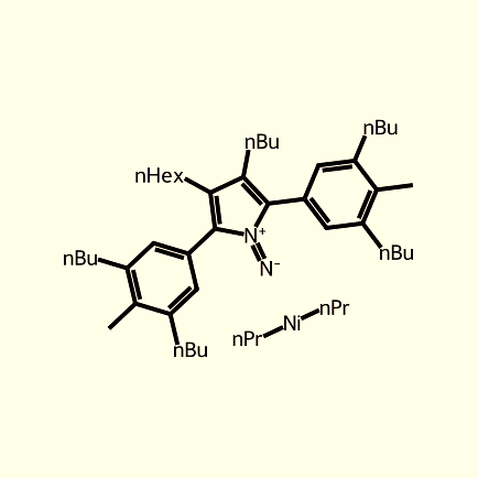 CCCCCCC1=C(c2cc(CCCC)c(C)c(CCCC)c2)[N+](=[N-])C(c2cc(CCCC)c(C)c(CCCC)c2)=C1CCCC.CC[CH2][Ni][CH2]CC